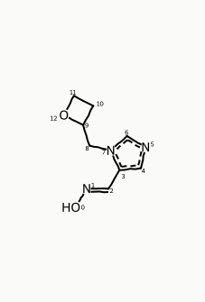 ON=Cc1cncn1CC1CCO1